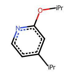 CC(C)Oc1cc(C(C)C)ccn1